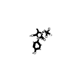 CC1C(=O)N(c2ccc(Cl)cc2)C(=O)N1SC(F)(Cl)Cl